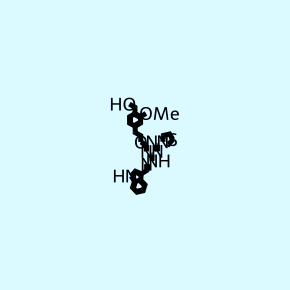 COc1cc(CCOc2nc(N/N=C/c3c[nH]c4ccccc34)nc(N3CCSC3)n2)ccc1CO